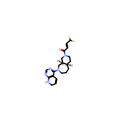 O=C(/C=C/C(F)F)N1CC[C@@H]2CCCN(c3ncnc4c3C=CCN4)C[C@@H]2C1